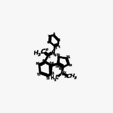 C/C(=N\c1ccccc1)c1ccccc1C1=C(N(C)C)C=CC1